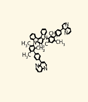 Cc1cc(C)c(-n2c3ccccc3c3c4c5ccccc5n(-c5c(C)cc(C)c(-c6ccc(-c7ccnc8cccnc78)cc6)c5C)c4ccc32)c(C)c1-c1ccc(-c2ccnc3cccnc23)cc1